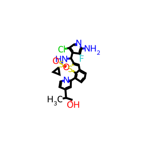 CC(CO)c1ccnc(-c2cccc3cc(C(NS(=O)(=O)C4CC4)c4c(Cl)cnc(N)c4F)sc23)c1